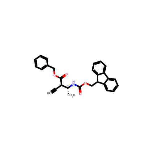 C#CC(C(=O)OCc1ccccc1)[C@H](NC(=O)OCC1c2ccccc2-c2ccccc21)C(=O)O